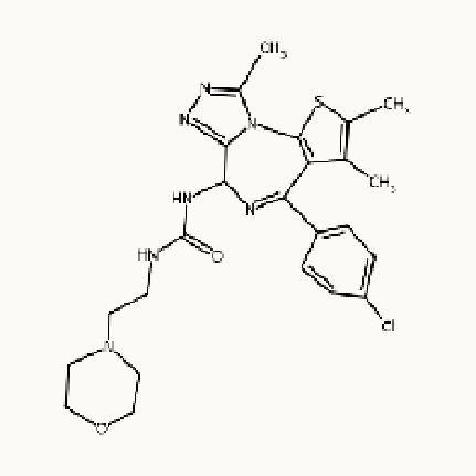 Cc1sc2c(c1C)C(c1ccc(Cl)cc1)=NC(NC(=O)NCCN1CCOCC1)c1nnc(C)n1-2